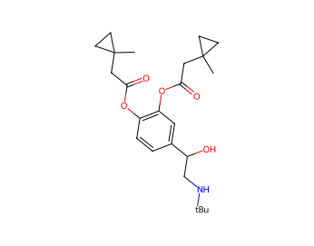 CC1(CC(=O)Oc2ccc(C(O)CNC(C)(C)C)cc2OC(=O)CC2(C)CC2)CC1